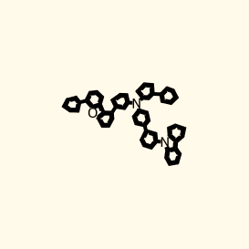 c1ccc(-c2cccc(N(c3ccc(-c4cccc(-n5c6ccccc6c6ccccc65)c4)cc3)c3cccc(-c4cccc5oc6c(-c7ccccc7)cccc6c45)c3)c2)cc1